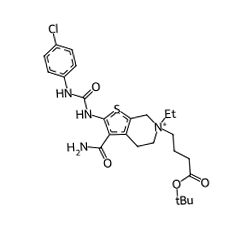 CC[N+]1(CCCC(=O)OC(C)(C)C)CCc2c(sc(NC(=O)Nc3ccc(Cl)cc3)c2C(N)=O)C1